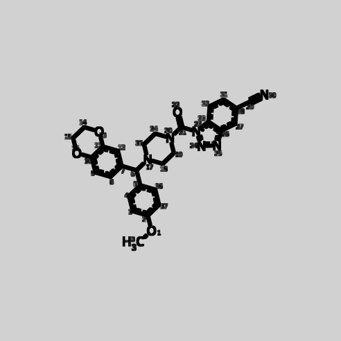 COc1ccc(C(c2ccc3c(c2)OCCO3)N2CCN(C(=O)n3nnc4cc(C#N)ccc43)CC2)cc1